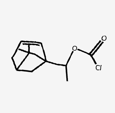 CC(OC(=O)Cl)C12C=CCC(C1)C2(C)C